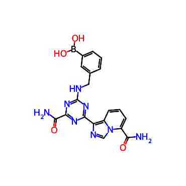 NC(=O)c1nc(NCc2cccc(B(O)O)c2)nc(-c2ncn3c(C(N)=O)cccc23)n1